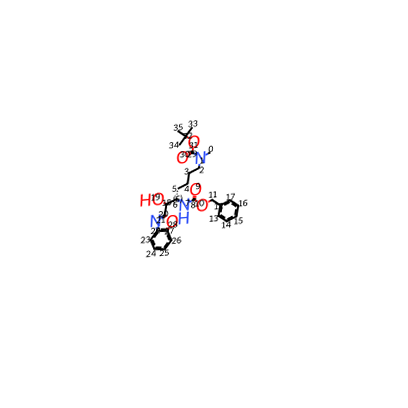 CN(CCCC[C@H](NC(=O)OCc1ccccc1)C(O)c1nc2ccccc2o1)C(=O)OC(C)(C)C